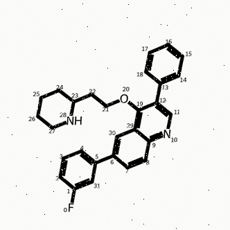 Fc1cccc(-c2ccc3ncc(-c4ccccc4)c(OCCC4CCCCN4)c3c2)c1